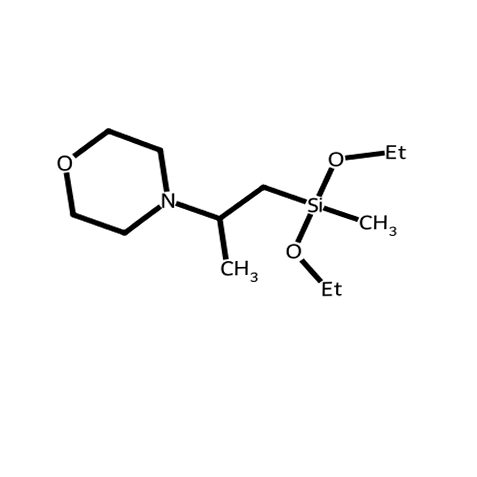 CCO[Si](C)(CC(C)N1CCOCC1)OCC